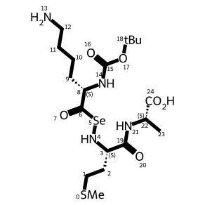 CSCC[C@H](N[Se]C(=O)[C@H](CCCCN)NC(=O)OC(C)(C)C)C(=O)N[C@@H](C)C(=O)O